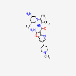 C/C(NC(=O)c1c(N)oc2cc(C3CCN(C)CC3)cnc12)=C(\C)N1C[C@@H](N)C[C@@H](C(F)(F)F)C1